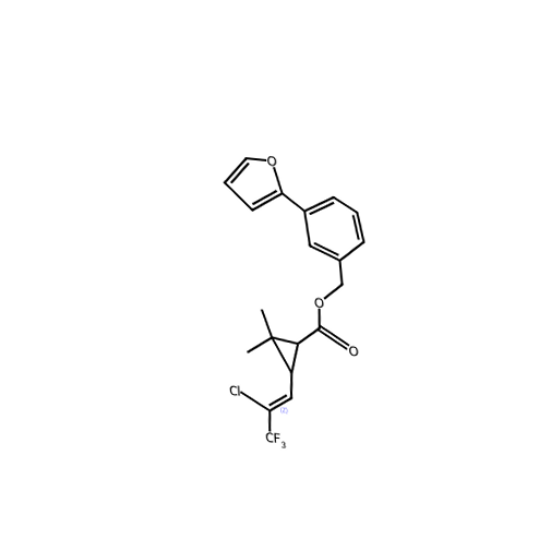 CC1(C)C(/C=C(\Cl)C(F)(F)F)C1C(=O)OCc1cccc(-c2ccco2)c1